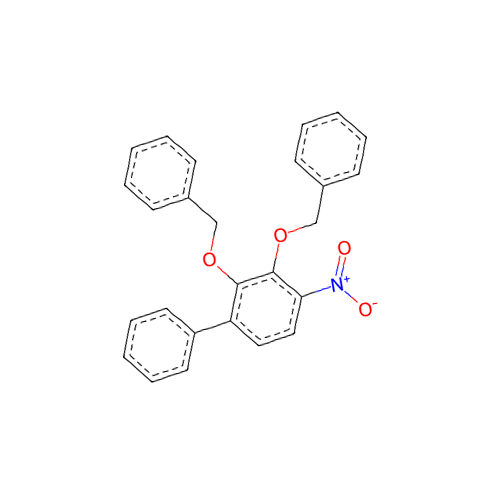 O=[N+]([O-])c1ccc(-c2ccccc2)c(OCc2ccccc2)c1OCc1ccccc1